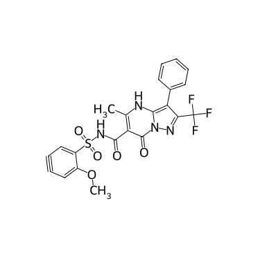 COc1cc#ccc1S(=O)(=O)NC(=O)c1c(C)[nH]c2c(-c3ccccc3)c(C(F)(F)F)nn2c1=O